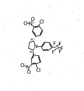 O=[N+]([O-])c1cc([C@H]2CC[C@H](c3ccc(Cl)c([N+](=O)[O-])c3)N2c2ccc(S(F)(F)(F)(F)F)cc2)ccc1Cl